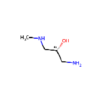 CNC[C@H](O)CN